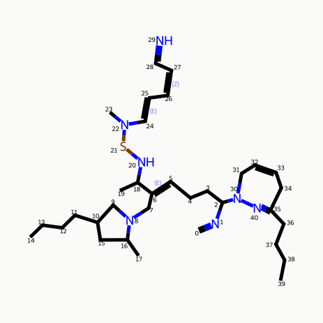 C=NC(CC/C=C(\CN1CC(CCCC)CC1C)C(C)NSN(C)/C=C/C=C\C=N)N1CC=CCC(CCCC)=N1